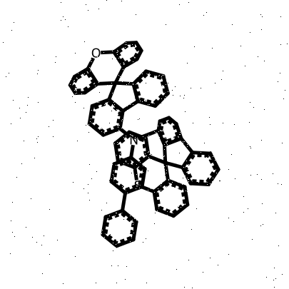 c1ccc(-c2ccc(N(c3cccc4c3-c3ccccc3C43c4ccccc4Oc4ccccc43)c3cccc4c3C3(c5ccccc5Sc5ccccc53)c3ccccc3-4)cc2)cc1